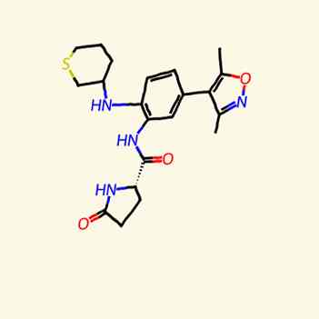 Cc1noc(C)c1-c1ccc(NC2CCCSC2)c(NC(=O)[C@@H]2CCC(=O)N2)c1